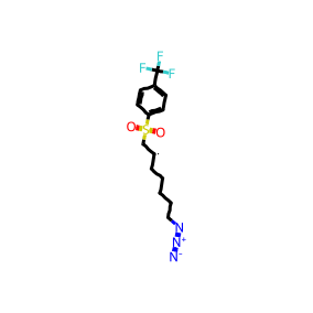 [N-]=[N+]=NCCCCC[CH]CS(=O)(=O)c1ccc(C(F)(F)F)cc1